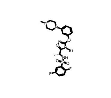 CCn1c(Oc2cccc(N3CCN(C)CC3)c2)nnc1[C@@H](C)NS(=O)(=O)c1cc(F)ccc1F